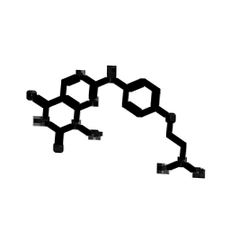 CCN(CC)CCOc1ccc(Nc2ncc3c(=O)[nH]c(=O)n(C(C)C)c3n2)cc1